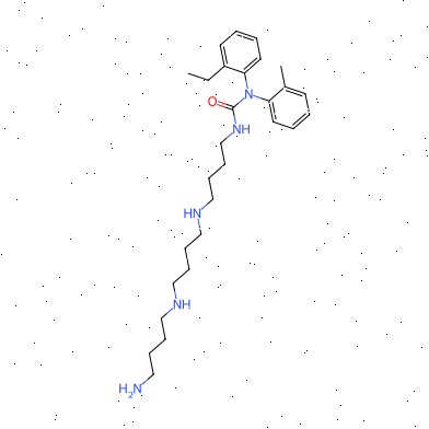 CCc1ccccc1N(C(=O)NCCCCNCCCCNCCCCN)c1ccccc1C